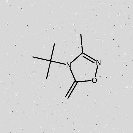 C=C1ON=C(C)N1C(C)(C)C